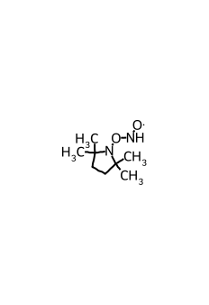 CC1(C)CCC(C)(C)N1ON[O]